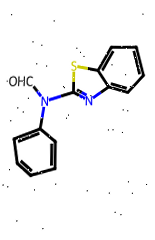 O=[C]N(c1ccccc1)c1nc2ccccc2s1